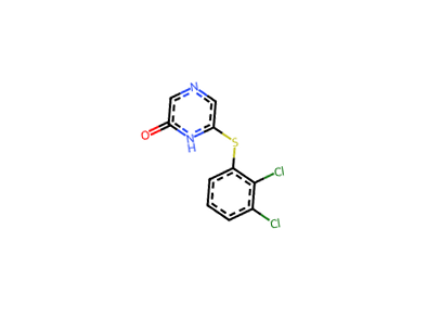 O=c1cncc(Sc2cccc(Cl)c2Cl)[nH]1